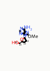 COc1nc2c(N)ncnc2n1[C@H]1CC[C@@H](CO)O1